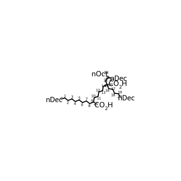 CCCCCCCCCCCCCCCCCCC(CCCCCC(CCCCCCCCCCCCCC)(CC(CCCCCCCC)CCCCCCCCCC)C(=O)O)C(=O)O